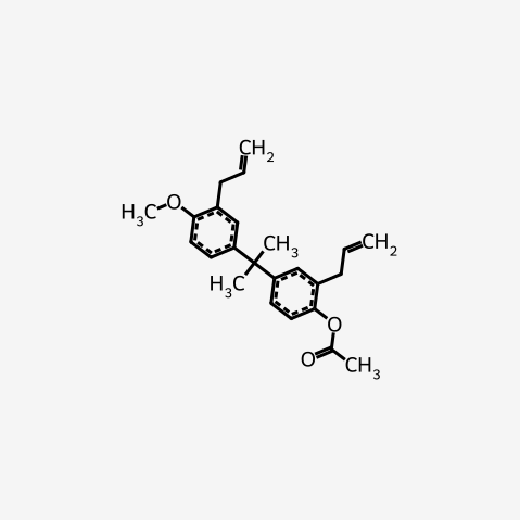 C=CCc1cc(C(C)(C)c2ccc(OC(C)=O)c(CC=C)c2)ccc1OC